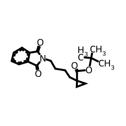 CC(C)(C)OC(=O)C1(CCCCN2C(=O)c3ccccc3C2=O)CC1